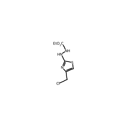 CCOC(=O)NNc1nc(CCl)cs1